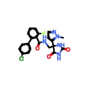 Cn1nccc1C1(CNC(=O)c2c(F)cccc2-c2ccc(Cl)cc2)NC(=O)NC1=O